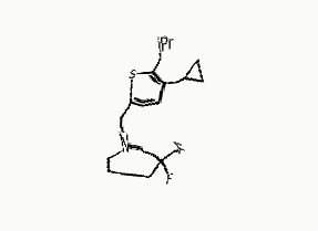 CC(C)c1sc(CN2CCCC(F)(F)C2)cc1C1CC1